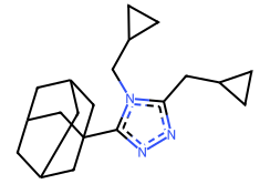 C1CC1Cc1nnc(C23CC4CC(CC(C4)C2)C3)n1CC1CC1